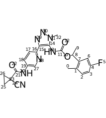 Cc1ccc(F)cc1C(C)OC(=O)Nc1c(-c2ccc(NC(=O)C3(C#N)CC3)cn2)nnn1C